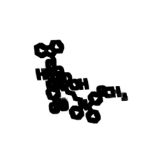 COc1ccc(C(c2ccccc2)N(CCCCC(NC(=O)C(Cc2ccc([N+](=O)[O-])cc2)NC(=O)OCC2c3ccccc3-c3ccccc32)C(=O)O)c2ccccc2)cc1